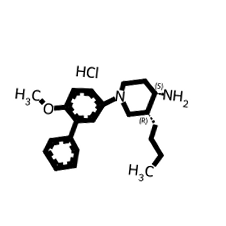 CCCC[C@@H]1CN(c2ccc(OC)c(-c3ccccc3)c2)CC[C@@H]1N.Cl